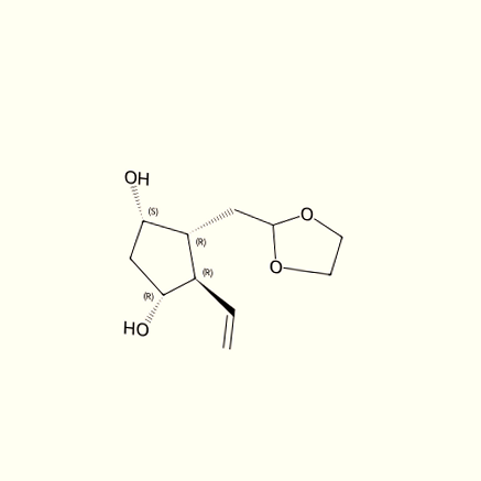 C=C[C@@H]1[C@@H](CC2OCCO2)[C@@H](O)C[C@H]1O